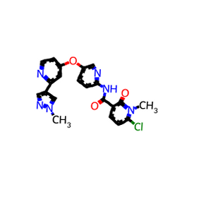 Cn1cc(-c2cc(Oc3ccc(NC(=O)c4ccc(Cl)n(C)c4=O)nc3)ccn2)cn1